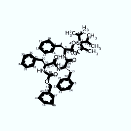 CC(C)[Si](OC(=O)[C@H](Cc1ccccc1)NC(=O)[C@H](Cc1ccccc1)NC(=O)[C@H](Cc1ccccc1)NC(=O)OCc1ccccc1)(C(C)C)C(C)C